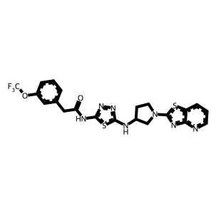 O=C(Cc1cccc(OC(F)(F)F)c1)Nc1nnc(NC2CCN(c3nc4ncccc4s3)C2)s1